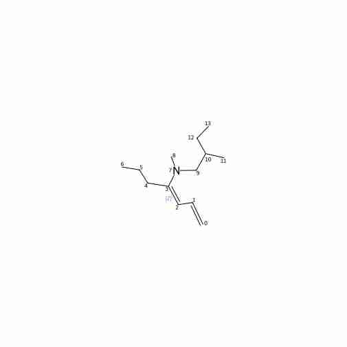 C=C/C=C(/CCC)N(C)CC(C)CC